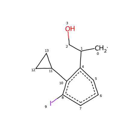 [CH2]C(CO)c1cccc(I)c1C1CC1